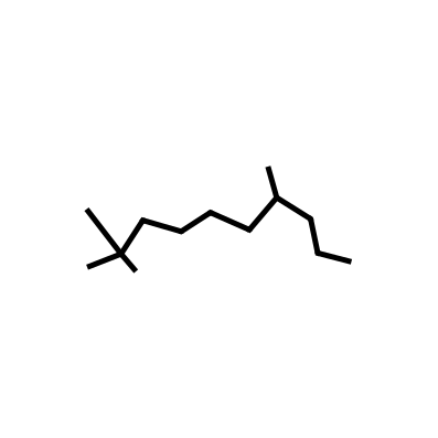 CCCC(C)CCCCC(C)(C)C